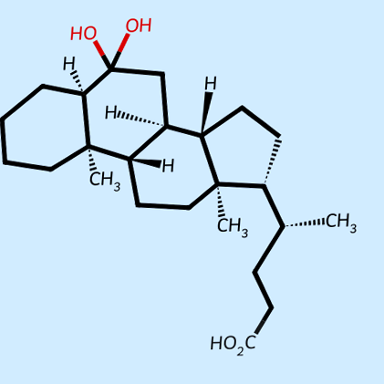 C[C@H](CCC(=O)O)[C@H]1CC[C@H]2[C@@H]3CC(O)(O)[C@@H]4CCCC[C@]4(C)[C@H]3CC[C@]12C